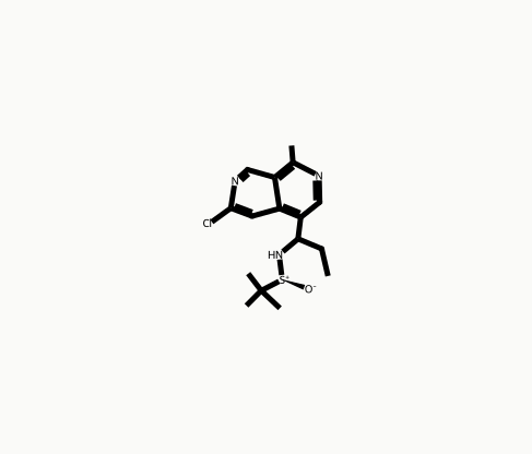 CCC(N[S@@+]([O-])C(C)(C)C)c1cnc(C)c2cnc(Cl)cc12